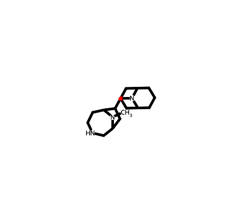 CN1C2CNCCC1C(CN1C3CCCC1CCC3)C2